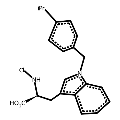 CC(C)c1ccc(Cn2cc(C[C@H](NCl)C(=O)O)c3ccccc32)cc1